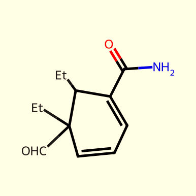 CCC1C(C(N)=O)=CC=CC1(C=O)CC